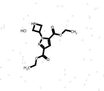 CCOC(=O)c1cc(C(=O)OCC)n(C2CNC2)n1.Cl